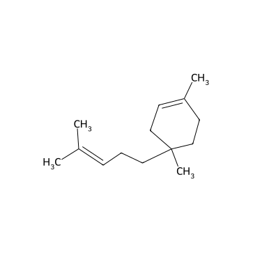 CC(C)=CCCC1(C)CC=C(C)CC1